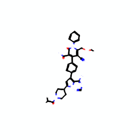 CCOCc1c(C#N)c(-c2ccc(-c3cc(C4CCN(C(=O)C(C)C)CC4)n4ncnc(N)c34)cc2)c(C(N)=O)c(=O)n1-c1ccccc1